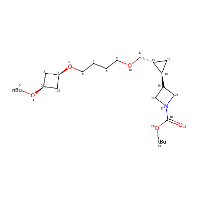 CCCCO[C@H]1C[C@@H](OCCCCOC[C@@H]2C[C@H]2C2CN(C(=O)OC(C)(C)C)C2)C1